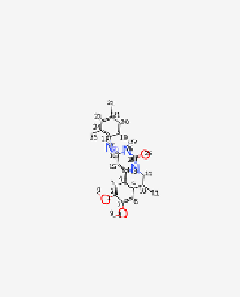 COc1cc2c(cc1OC)C(C)Cn1c-2c/c(=N/c2ccc(C)cc2C)n(C)c1=O